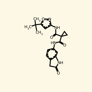 CC(C)(C)c1cc(NC(=O)C2(C(=O)Nc3ccc4c(c3)NC(=O)C4)CC2)no1